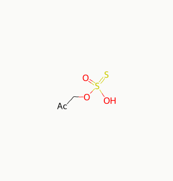 CC(=O)COS(=O)(O)=S